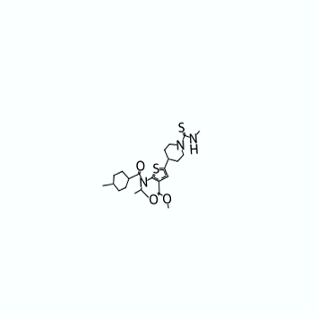 CNC(=S)N1CCC(c2cc(C(=O)OC)c(N(C(=O)C3CCC(C)CC3)C(C)C)s2)CC1